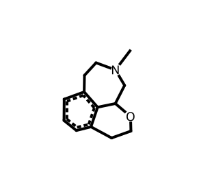 CN1CCc2cccc3c2C(C1)OCC3